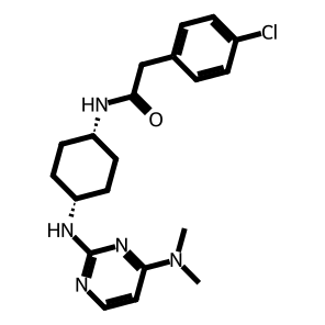 CN(C)c1ccnc(N[C@H]2CC[C@@H](NC(=O)Cc3ccc(Cl)cc3)CC2)n1